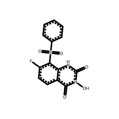 O=c1[nH]c2c(S(=O)(=O)c3ccccc3)c(F)ccc2c(=O)n1O